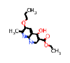 CCCOc1cc2c(O)c(C(=O)OCC)cnc2nc1C